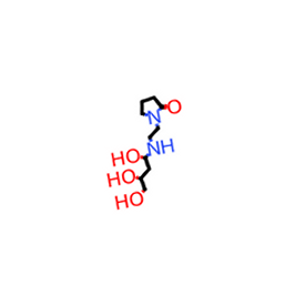 O=C1CCCN1CCNC(O)CC(O)CO